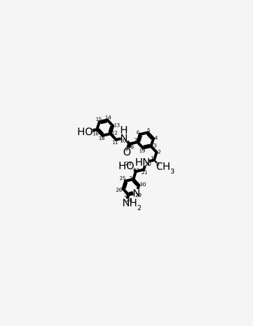 C[C@H](Cc1cccc(C(=O)NCc2cccc(O)c2)c1)NC[C@H](O)c1ccc(N)nc1